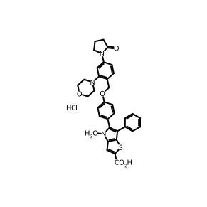 Cl.Cn1c(-c2ccc(OCc3ccc(N4CCCC4=O)cc3N3CCOCC3)cc2)c(-c2ccccc2)c2sc(C(=O)O)cc21